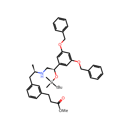 COC(=O)CCc1cccc(C[C@@H](C)NC[C@H](O[Si](C)(C)C(C)(C)C)c2cc(OCc3ccccc3)cc(OCc3ccccc3)c2)c1